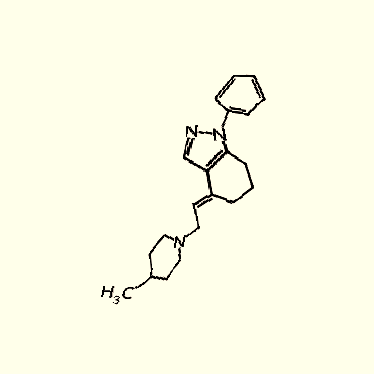 CC1CCN(CC=C2CCCc3c2cnn3-c2ccccc2)CC1